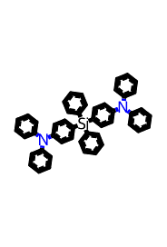 c1ccc(N(c2ccccc2)c2ccc([Si](c3ccccc3)(c3ccccc3)c3ccc(N(c4ccccc4)c4ccccc4)cc3)cc2)cc1